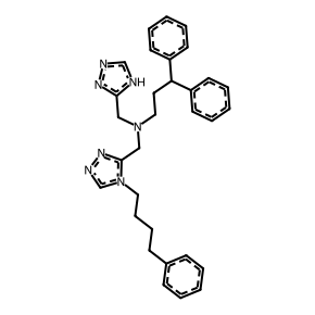 c1ccc(CCCCn2cnnc2CN(CCC(c2ccccc2)c2ccccc2)Cc2nnc[nH]2)cc1